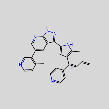 C=C/C=C(/c1ccncc1)c1cc(-c2n[nH]c3ncc(-c4cnccc4C)cc23)[nH]c1C